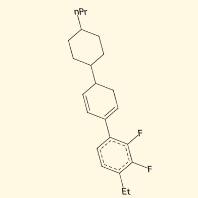 CCCC1CCC(C2C=CC(c3ccc(CC)c(F)c3F)=CC2)CC1